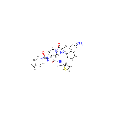 NCCCC[C@@H](NC1CCCCC1)C(=O)N1CC[C@@H](NC(=O)N2CCC3(CC2)CC3)[C@@H](C(=O)NCc2cccs2)C1